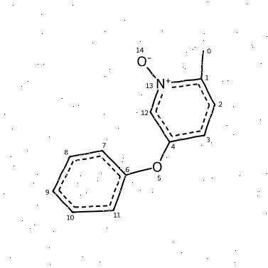 Cc1ccc(Oc2ccccc2)c[n+]1[O-]